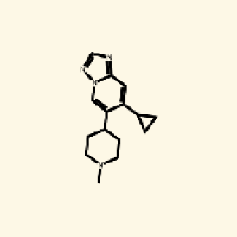 CN1CCC(c2cn3ncnc3cc2C2CC2)CC1